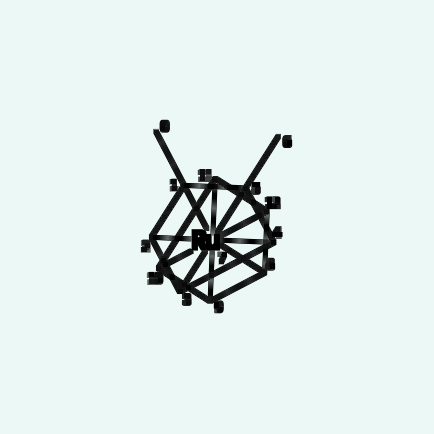 C[C]12[CH]3[CH]4[CH]5[C]1(C)[Ru]43521678[CH]2[CH]1[CH]6[CH]7[CH]28